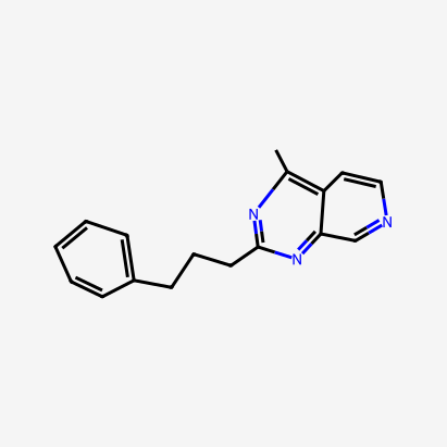 Cc1nc(CCCc2ccccc2)nc2cnccc12